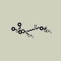 CCCN(CCCCCCNCCc1ccc(C(=O)OC)cc1)C1CCc2c(ccc(OCc3ccccc3)c2OCc2ccccc2)C1